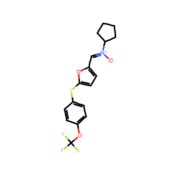 [O-][N+](=Cc1ccc(Sc2ccc(OC(F)(F)F)cc2)o1)C1CCCC1